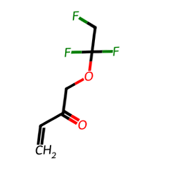 C=CC(=O)COC(F)(F)CF